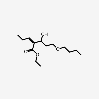 CC/C=C(\C(=O)OCC)C(O)CCOCCCC